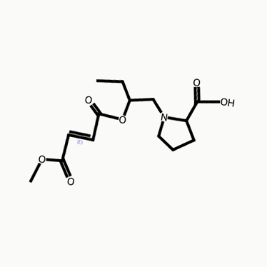 CCC(CN1CCCC1C(=O)O)OC(=O)/C=C/C(=O)OC